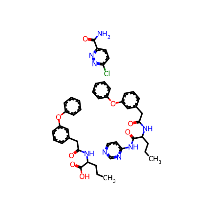 CCCC(NC(=O)Cc1cccc(Oc2ccccc2)c1)C(=O)Nc1ccncn1.CCCC(NC(=O)Cc1cccc(Oc2ccccc2)c1)C(=O)O.NC(=O)c1ccc(Cl)nn1